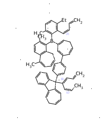 C=C/C=C\c1c(CC)ccc(C)c1B(C1=CCC=CC(c2ccc(C3(C(/C=C\C)=C/C=C)C4=CC=CCC=C4c4ccccc43)cc2)=C1)c1c(C)ccc2c1CC=CC=C2C